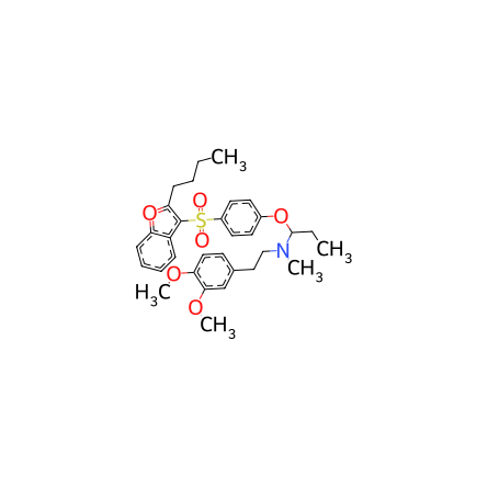 CCCCc1oc2ccccc2c1S(=O)(=O)c1ccc(OC(CC)N(C)CCc2ccc(OC)c(OC)c2)cc1